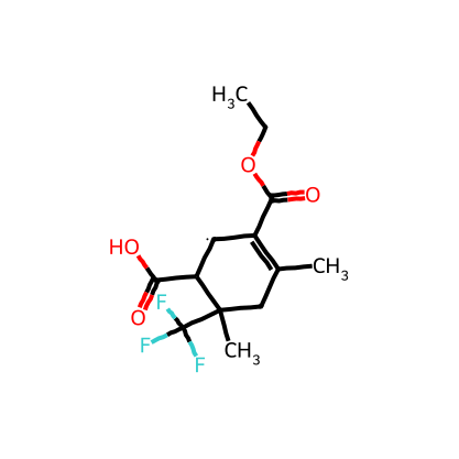 CCOC(=O)C1=C(C)CC(C)(C(F)(F)F)C(C(=O)O)[CH]1